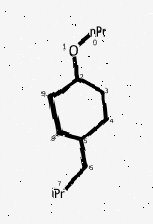 CCCOC1CCC(CC(C)C)CC1